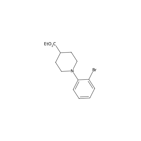 CCOC(=O)C1CCN(c2ccccc2Br)CC1